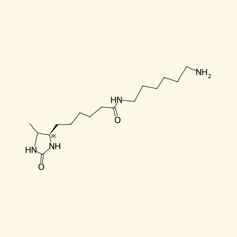 CC1NC(=O)N[C@@H]1CCCCCC(=O)NCCCCCCN